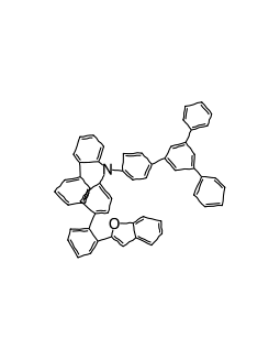 c1ccc(-c2cc(-c3ccccc3)cc(-c3ccc(N(c4ccc(-c5ccccc5-c5cc6ccccc6o5)cc4)c4ccccc4-c4ccccc4)cc3)c2)cc1